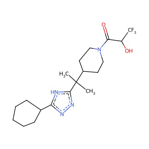 CC(C)(c1nnc(C2CCCCC2)[nH]1)C1CCN(C(=O)C(O)C(F)(F)F)CC1